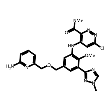 CNC(=O)c1nnc(Cl)cc1Nc1cc(COCc2cccc(N)n2)cc(-c2ncn(C)n2)c1OC